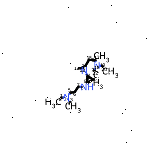 CCN(CC)CCCNC1CC1N1CC1CC(C)N(CC)CC